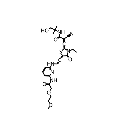 CCn1c(=C=C(C#N)C(=O)NC(C)(C)CO)sc(=C=CNc2cccc(NC(=O)COCCOC)n2)c1=O